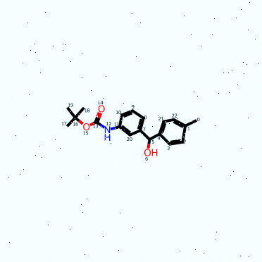 Cc1ccc(C(O)c2cccc(NC(=O)OC(C)(C)C)c2)cc1